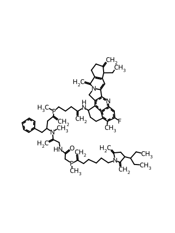 C=C(CCCP(C)C(=C)CC(Cc1ccccc1)N(C)C(=C)CNC(=O)CP(C)C(=C)CCCCCN1C(=C)CC(C(CC)CC)C1=C)NC1CCc2c(C)c(F)cc3nc4c(c1c23)CN1C(=C)C2=C(C=C41)C(CC)C(=C)CC2